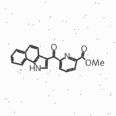 COC(=O)c1cccc(C(=O)c2c[nH]c3c2ccc2ccccc23)n1